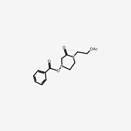 CC(=O)OCCN1CCN(OC(=O)c2ccccc2)CC1=O